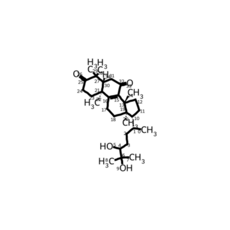 CC(CCC(O)C(C)(C)O)[C@H]1CC[C@@]2(C)C3=C(CC[C@]12C)[C@@]1(C)CCC(=O)C(C)(C)[C@@H]1CC3=O